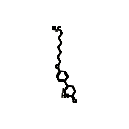 CCCCCCCCOc1ccc(C2=NNC(=O)CC2)cc1